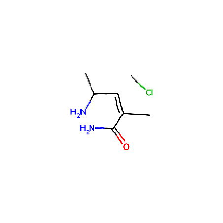 CC(=CC(C)N)C(N)=O.CCl